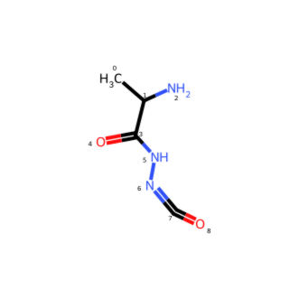 CC(N)C(=O)NN=C=O